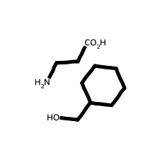 NCCC(=O)O.OCC1CCCCC1